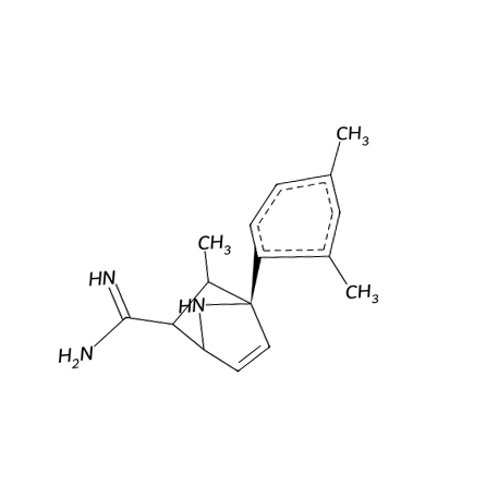 Cc1ccc([C@@]23C=CC(N2)C(C(=N)N)C3C)c(C)c1